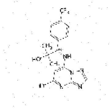 CC(C)c1cc(N[C@@H](c2ccc(C(F)(F)F)cc2)C(C)(C)O)n2ncnc2n1